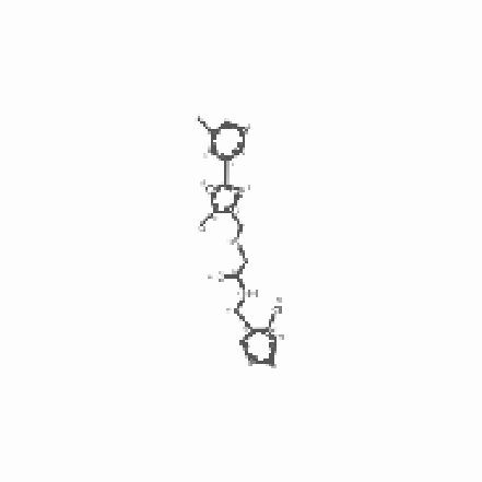 Cc1cccc(-c2nc(CSCC(=O)NCc3ccccc3Cl)c(C)o2)c1